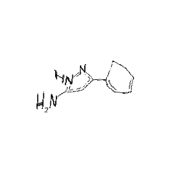 Nc1cc(C2=CC=CCC2)n[nH]1